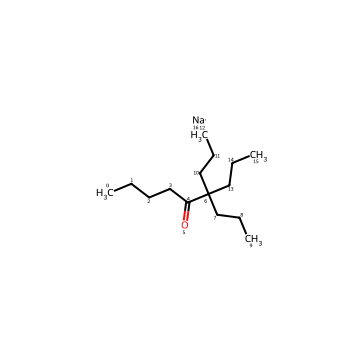 CCCCC(=O)C(CCC)(CCC)CCC.[Na]